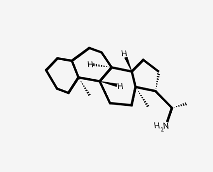 C[C@H](N)[C@H]1CC[C@H]2[C@@H]3CCC4CCCC[C@]4(C)[C@H]3CC[C@]12C